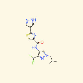 CC(C)Cn1cc(NC(=O)c2csc(-c3cn[nH]c3)n2)c(C(F)F)n1